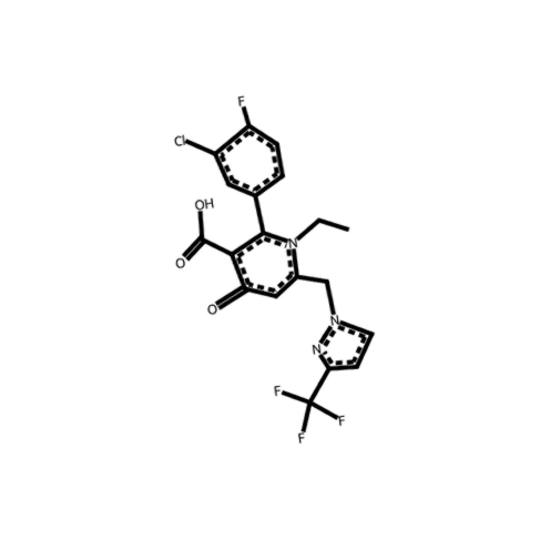 CCn1c(Cn2ccc(C(F)(F)F)n2)cc(=O)c(C(=O)O)c1-c1ccc(F)c(Cl)c1